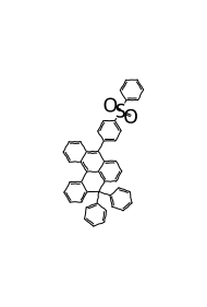 O=S(=O)(c1ccccc1)c1ccc(-c2c3ccccc3c3c4c(cccc24)C(c2ccccc2)(c2ccccc2)c2ccccc2-3)cc1